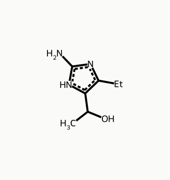 CCc1nc(N)[nH]c1C(C)O